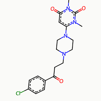 Cn1c(N2CCN(CCC(=O)c3ccc(Cl)cc3)CC2)cc(=O)n(C)c1=O